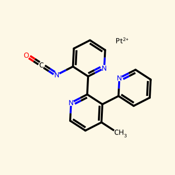 Cc1ccnc(-c2ncccc2N=C=O)c1-c1ccccn1.[Pt+2]